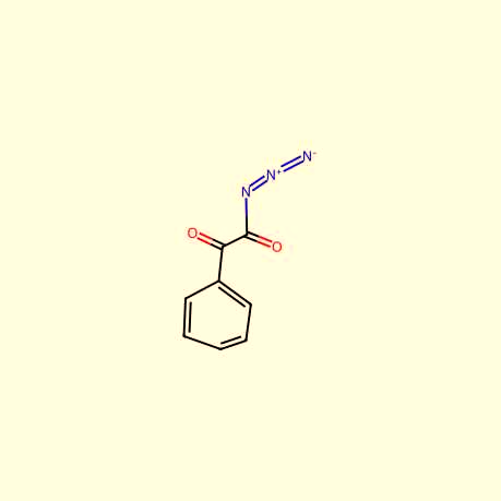 [N-]=[N+]=NC(=O)C(=O)c1ccccc1